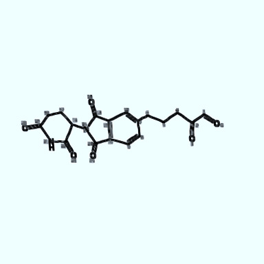 O=CC(=O)CCCc1ccc2c(c1)C(=O)N(C1CCC(=O)NC1=O)C2=O